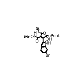 CCCCCC1(O)OC(=C=O)C(C(=O)NOC)=C1c1cc2ccc(Br)cc2[nH]1